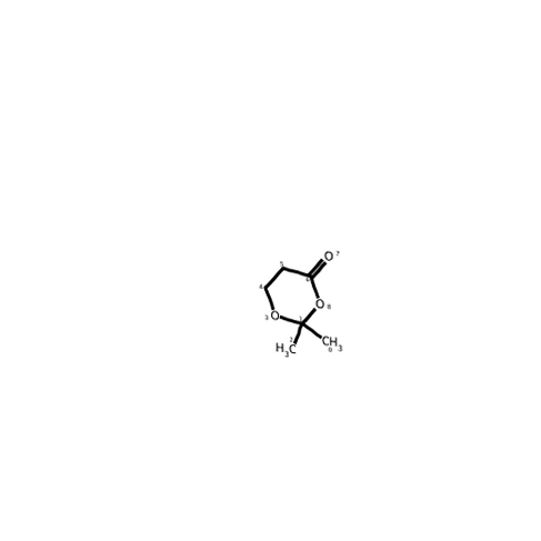 CC1(C)O[CH]CC(=O)O1